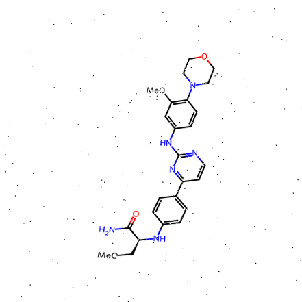 COC[C@H](Nc1ccc(-c2ccnc(Nc3ccc(N4CCOCC4)c(OC)c3)n2)cc1)C(N)=O